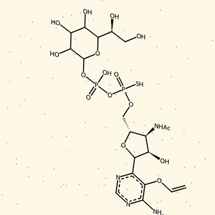 C=COc1c(N)ncnc1C1O[C@H](COP(=O)(S)OP(=O)(O)OC2OC([C@@H](O)CO)C(O)C(O)C2O)[C@@H](NC(C)=O)[C@H]1O